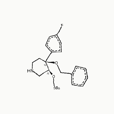 CCCCO[C@H]1CNCC[C@]1(OCc1ccccc1)c1ccc(F)cc1